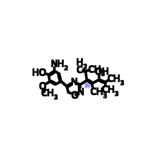 C=C(C)/C(C1=NOCC(c2cc(N)c(O)c(OC)c2)=N1)=C(/C)C(O)=C(C)C